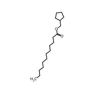 [CH2]CCCCCCCCCCC(=O)OCC1CCCC1